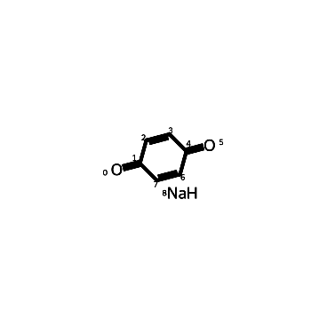 O=C1C=CC(=O)C=C1.[NaH]